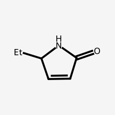 CCC1C=CC(=O)N1